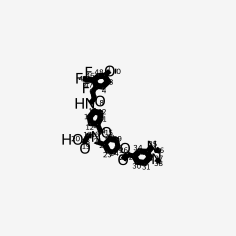 COc1ccc(CC(=O)Nc2ccc(C(=O)N(CC(=O)O)CC3=CCC(OC(=O)c4ccc5c(c4)ncn5C)C=C3)cc2)c(C(F)(F)F)c1